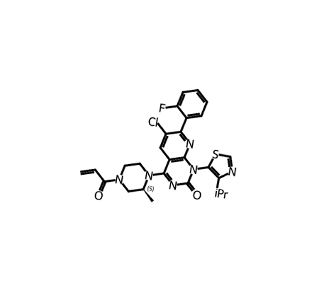 C=CC(=O)N1CCN(c2nc(=O)n(-c3scnc3C(C)C)c3nc(-c4ccccc4F)c(Cl)cc23)[C@@H](C)C1